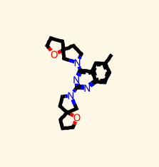 Cc1ccc2nc(N3CCC4(CCCO4)C3)nc(N3CCC4(CCCO4)C3)c2c1